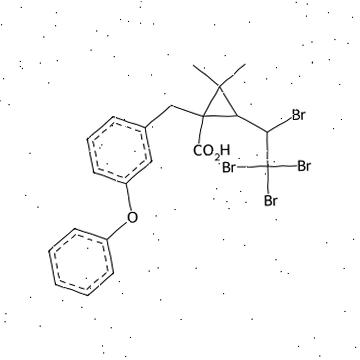 CC1(C)C(C(Br)C(Br)(Br)Br)C1(Cc1cccc(Oc2ccccc2)c1)C(=O)O